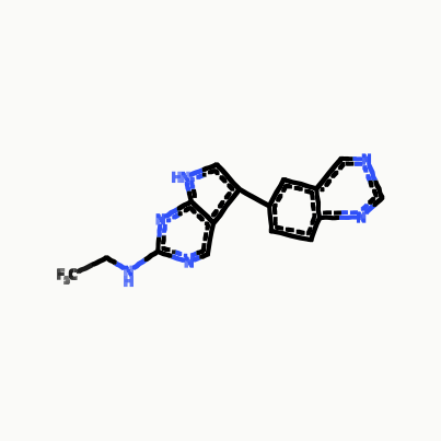 FC(F)(F)CNc1ncc2c(-c3ccc4ncncc4c3)c[nH]c2n1